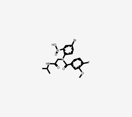 COc1cc(C(=O)N(CC(=O)NC(C)C)c2ccc(Br)cc2[N+](=O)O)ccc1F